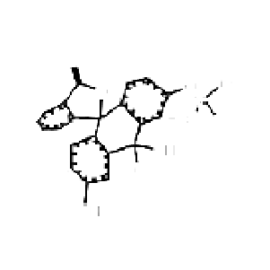 Cc1ccc2c(c1)C(C)(C)c1cc(O[Si](C)(C)C(C)(C)C)ccc1C21OC(=O)c2ccccc21